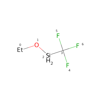 CCO[SiH2]C(F)(F)F